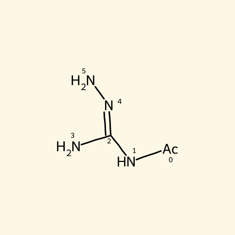 CC(=O)NC(N)=NN